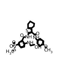 COc1ccc(NC(=O)c2c(NC(=O)c3cc(S(=O)(=O)SC)ccc3NCCO)sc3c2CCCC3)cc1